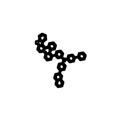 c1ccc(-c2ccc(N(c3ccc(-c4ccc5ccccc5c4)cc3)c3cccc(-c4cccc5c6ccc7oc8ccccc8c7c6c6ccccc6c45)c3)cc2)cc1